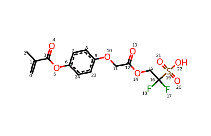 C=C(C)C(=O)Oc1ccc(OCC(=O)OCC(F)(F)S(=O)(=O)O)cc1